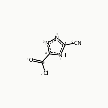 N#Cc1nnc(C(=O)Cl)[nH]1